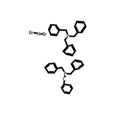 [Br][Ni][Br].c1ccc(CP(Cc2ccccc2)Cc2ccccc2)cc1.c1ccc(CP(Cc2ccccc2)Cc2ccccc2)cc1